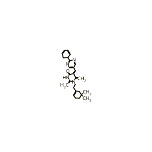 C=C1NC(=O)/C(=C\c2cnc(C3C=CC=CC3)nc2)C(=C)N1CCC1=CCCC(C)(C)C1